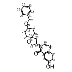 O=c1c2cc(O)ccc2ncn1C1COC2(CCC(OCc3ccccc3)CC2)C1